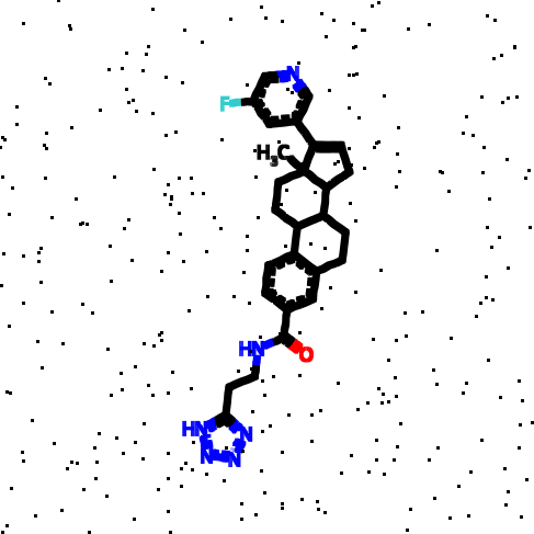 CC12CCC3c4ccc(C(=O)NCCc5nnn[nH]5)cc4CCC3C1CC=C2c1cncc(F)c1